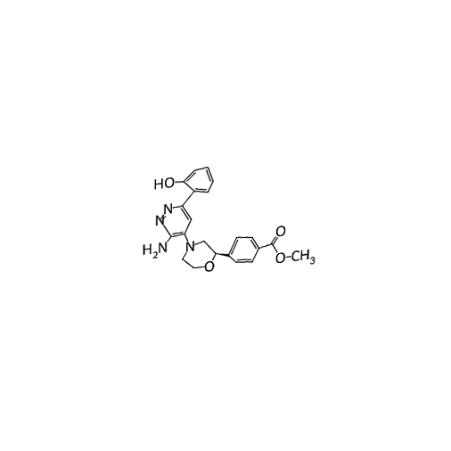 COC(=O)c1ccc([C@@H]2CN(c3cc(-c4ccccc4O)nnc3N)CCO2)cc1